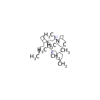 C=C1CCC(C)C(C/C(=C\C)C2CC([C@]3(CC/C(=C\C)N4C(C)CCCCC5CCC54)C4=CCC4C3CCC#CC)C2C)CC1